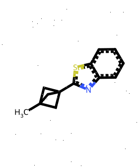 CC12CC(c3nc4ccccc4s3)(C1)C2